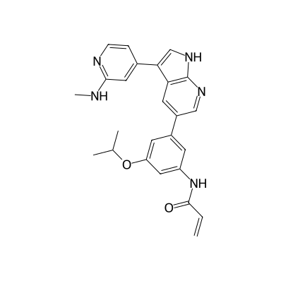 C=CC(=O)Nc1cc(OC(C)C)cc(-c2cnc3[nH]cc(-c4ccnc(NC)c4)c3c2)c1